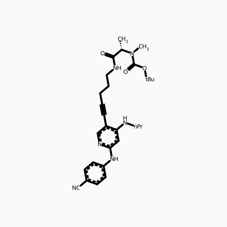 CCCNc1cc(Nc2ccc(C#N)cc2)ncc1C#CCCCNC(=O)[C@H](C)N(C)C(=O)OC(C)(C)C